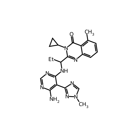 CCC(Nc1ncnc(N)c1-c1ncn(C)n1)c1nc2cccc(C)c2c(=O)n1C1CC1